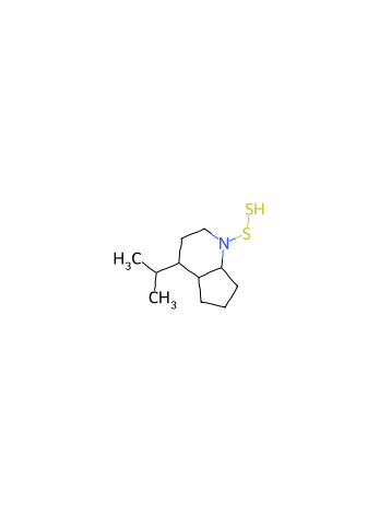 CC(C)C1CCN(SS)C2CCCC12